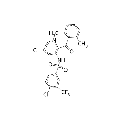 Cc1cccc(C)c1C(=O)c1ncc(Cl)cc1NS(=O)(=O)c1ccc(Cl)c(C(F)(F)F)c1